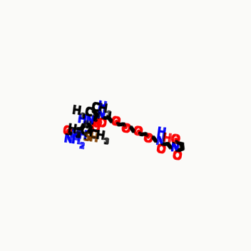 CC(C)[C@H](NC(=O)CCOCCOCCOCCOCCNC(=O)CCN1C(=O)C=CC1O)C(=O)N[C@@H](CCCNC(N)=O)C(=O)C(C)(C)S